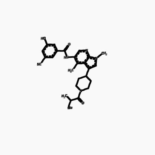 Cc1c(NC(=O)c2cc(O)cc(C#N)c2)cnc2c1c(C1CCN(C(=O)C(C)C(C)(C)C)CC1)cn2C